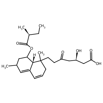 CC[C@H](C)C(=O)OC1CC(C)C=C2C=CCC(C)(CCC(=O)C[C@@H](O)CC(=O)O)[C@H]21